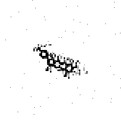 COC(=O)c1ccc(-c2cc(N(C)C)c3c(c2O)C(=O)C2=C(O)[C@]4(O)C(=O)C(C(N)=O)=C(O)[C@@H](N(C)C)[C@@H]4C[C@@H]2C3)cc1